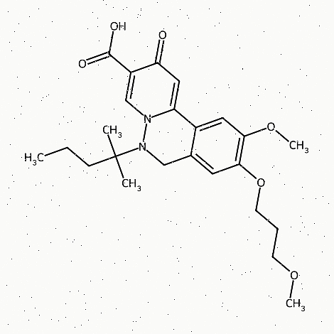 CCCC(C)(C)N1Cc2cc(OCCCOC)c(OC)cc2-c2cc(=O)c(C(=O)O)cn21